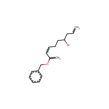 C=CCC(Br)CC/C=C\C(=C)OCc1ccccc1